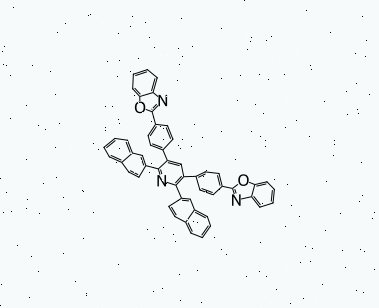 c1ccc2cc(-c3nc(-c4ccc5ccccc5c4)c(-c4ccc(-c5nc6ccccc6o5)cc4)cc3-c3ccc(-c4nc5ccccc5o4)cc3)ccc2c1